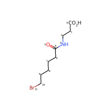 O=C(O)CCNC(=O)CCCCCBr